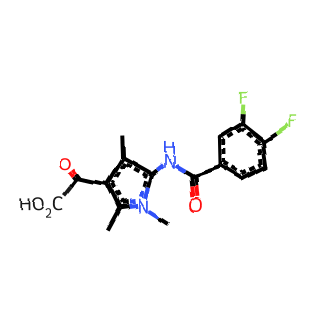 Cc1c(C(=O)C(=O)O)c(C)n(C)c1NC(=O)c1ccc(F)c(F)c1